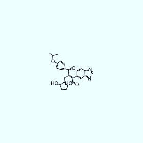 CC(C)Oc1ccc(C(=O)C(CC2CCCC2O)=C(C(=O)O)c2ccc3nsnc3c2)cc1